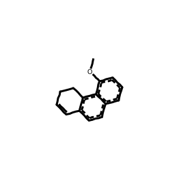 COc1cccc2ccc3c(c12)CCC=C3